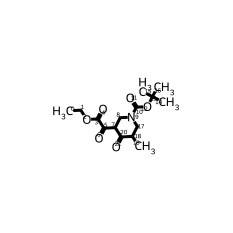 CCOC(=O)C(=O)C1CN(C(=O)OC(C)(C)C)CC(C)C1=O